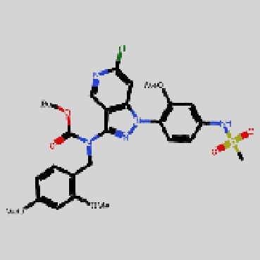 COc1ccc(CN(C(=O)OC(C)(C)C)c2nn(-c3ccc(NS(C)(=O)=O)cc3OC)c3cc(Cl)ncc23)c(OC)c1